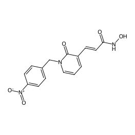 O=C(/C=C/c1cccn(Cc2ccc([N+](=O)[O-])cc2)c1=O)NO